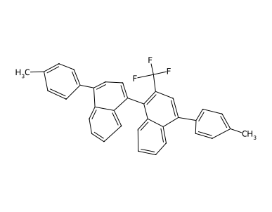 Cc1ccc(-c2ccc(-c3c(C(F)(F)F)cc(-c4ccc(C)cc4)c4ccccc34)c3ccccc23)cc1